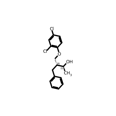 C[C@H](O)[C@@H](COc1ccc(Cl)cc1Cl)Cc1ccccc1